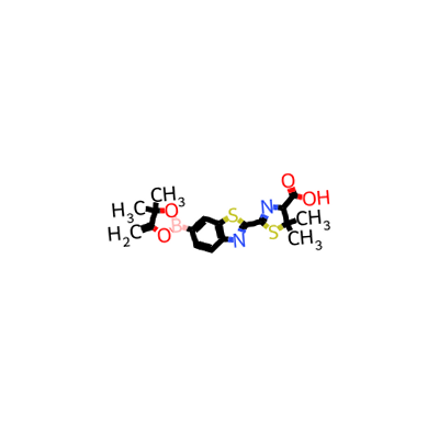 C=C1OB(c2ccc3nc(C4=NC(C(=O)O)C(C)(C)S4)sc3c2)OC1(C)C